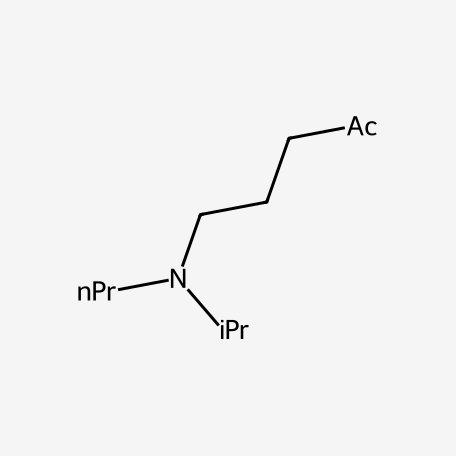 CCCN(CCCC(C)=O)C(C)C